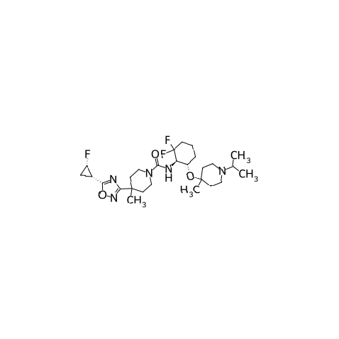 CC(C)N1CCC(C)(O[C@H]2CCCC(F)(F)[C@@H]2NC(=O)N2CCC(C)(c3noc([C@@H]4C[C@@H]4F)n3)CC2)CC1